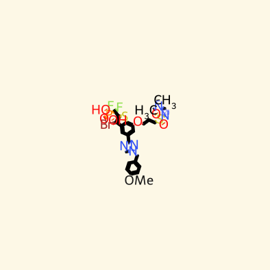 COc1ccc(Cn2cnc(-c3cc(OCCCS(=O)(=O)/N=C\N(C)C)c4sc(C(F)(F)P(=O)(O)O)c(Br)c4c3)n2)cc1